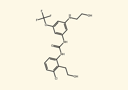 O=C(Nc1cc(NCCO)cc(OC(F)(F)F)c1)Nc1cccc(Cl)c1CCO